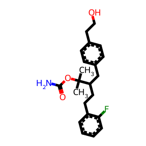 CC(C)(OC(N)=O)C(CCc1ccccc1F)Cc1ccc(CCO)cc1